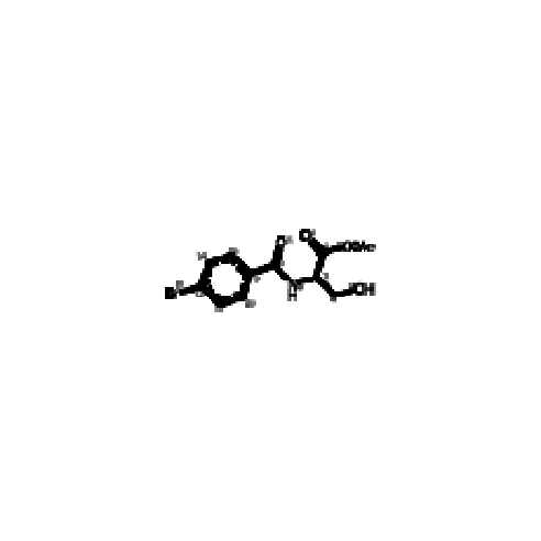 COC(=O)C(CO)NC(=O)c1ccc(Br)cc1